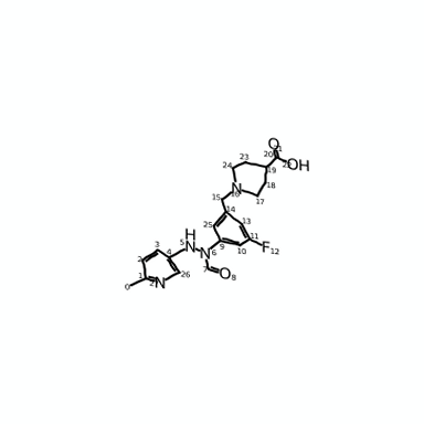 Cc1ccc(NN(C=O)c2cc(F)cc(CN3CCC(C(=O)O)CC3)c2)cn1